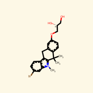 Cn1c2c(c3ccc(Br)cc31)Cc1cc(OC[C@H](O)CO)ccc1C2(C)C